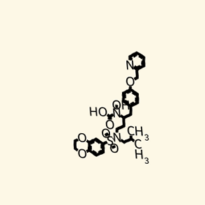 CC(C)CN(CCC(Cc1ccc(OCc2ccccn2)cc1)N(O)C(=O)O)S(=O)(=O)c1ccc2c(c1)OCCO2